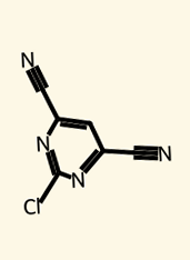 N#Cc1cc(C#N)nc(Cl)n1